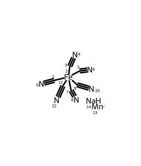 N#[C][Fe]([C]#N)([C]#N)([C]#N)([C]#N)[C]#N.[Mn].[NaH]